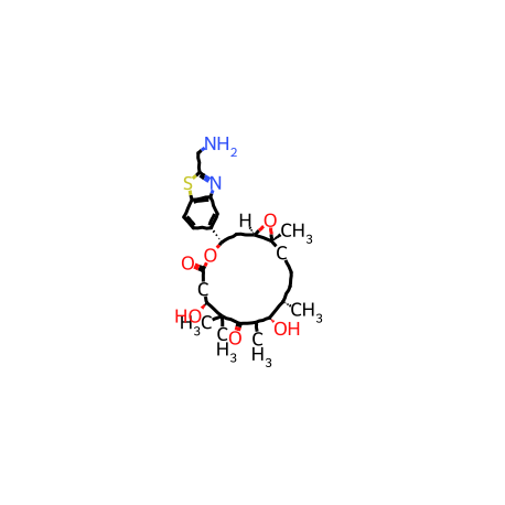 CC1C(=O)C(C)(C)[C@@H](O)CC(=O)O[C@H](c2ccc3sc(CN)nc3c2)C[C@H]2O[C@]2(C)CCC[C@H](C)[C@@H]1O